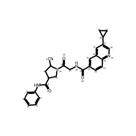 N#CC1CC(C(=O)Nc2ccccc2)CN1C(=O)CNC(=O)c1ccc2ncc(C3CC3)cc2c1